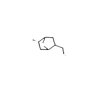 OCC1CC2OC1C[C@H]2O